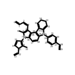 C=C/C=C\c1c(C)n(C2=C(C)C(C=C)C=C2)c2ccc3c(c4c(n3-c3ccc(C=C)cc3)=CCCC=4)c12